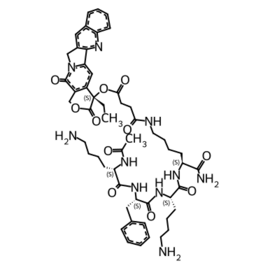 CC[C@@]1(OC(=O)CCC(=O)NCCCC[C@H](NC(=O)[C@H](CCCCN)NC(=O)[C@H](Cc2ccccc2)NC(=O)[C@H](CCCCN)NC(C)=O)C(N)=O)C(=O)OCc2c1cc1n(c2=O)Cc2cc3ccccc3nc2-1